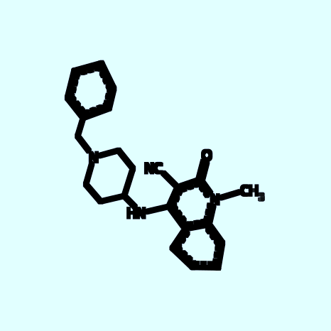 Cn1c(=O)c(C#N)c(NC2CCN(Cc3ccccc3)CC2)c2ccccc21